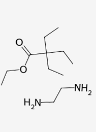 CCOC(=O)C(CC)(CC)CC.NCCN